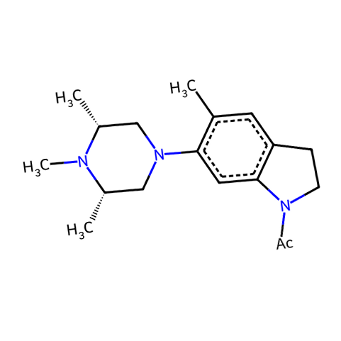 CC(=O)N1CCc2cc(C)c(N3C[C@@H](C)N(C)[C@@H](C)C3)cc21